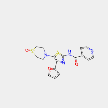 O=C(Nc1nc(-c2ccco2)c(N2CC[S+]([O-])CC2)s1)c1ccncc1